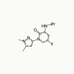 Cc1cc(-n2cc(F)cc(NC(C)C)c2=O)nn1C